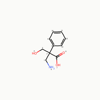 NCC(CO)(C(=O)O)c1ccccc1